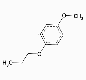 CCCOc1[c]cc(OC)cc1